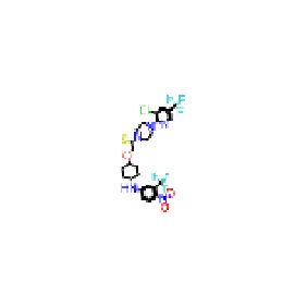 O=[N+]([O-])c1ccc(N[C@H]2CC[C@H](OCC(=S)N3CCN(c4ncc(C(F)(F)F)cc4Cl)CC3)CC2)cc1C(F)(F)F